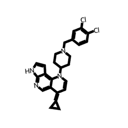 Clc1ccc(CN2CCC(N3C=CC(=C4CC4)c4cnc5[nH]ccc5c43)CC2)cc1Cl